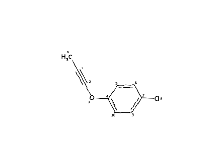 CC#COc1ccc(Cl)cc1